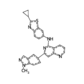 Cn1ncc2cc(-c3cc4ncccc4c(Nc4ccc5nc(C6CC6)sc5c4)n3)ccc21